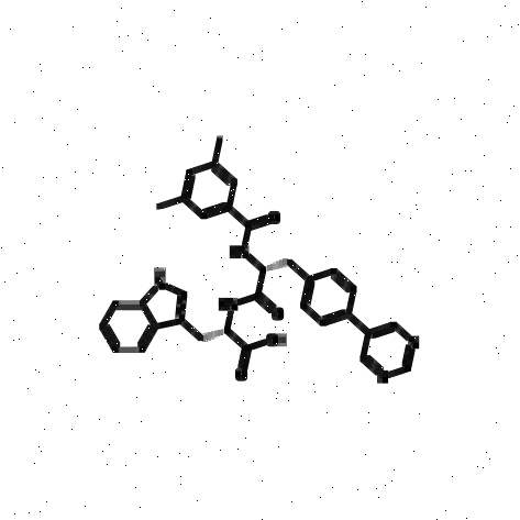 Cc1cc(C)cc(C(=O)N[C@H](Cc2ccc(-c3cncnc3)cc2)C(=O)N[C@@H](Cc2c[nH]c3ccccc23)C(=O)O)c1